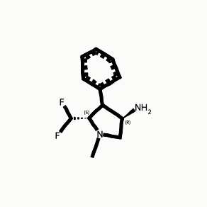 CN1C[C@H](N)C(c2ccccc2)[C@H]1C(F)F